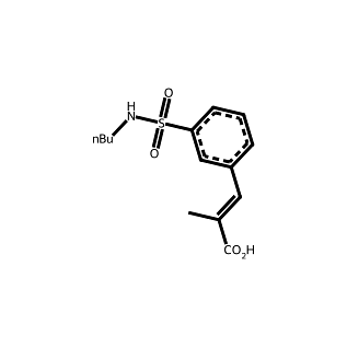 CCCCNS(=O)(=O)c1cccc(C=C(C)C(=O)O)c1